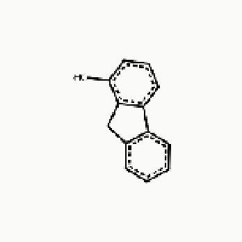 [CH]c1cccc2c1Cc1ccccc1-2